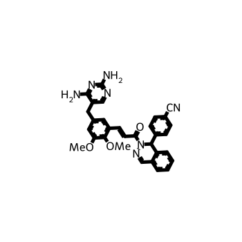 COc1cc(Cc2cnc(N)nc2N)cc(C=CC(=O)N2N=Cc3ccccc3C2c2ccc(C#N)cc2)c1OC